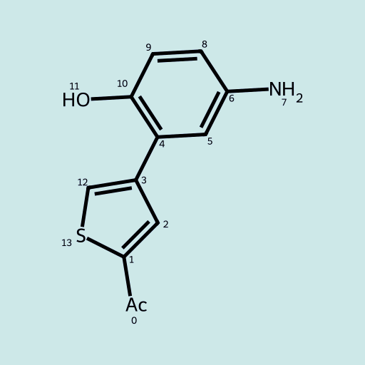 CC(=O)c1cc(-c2cc(N)ccc2O)cs1